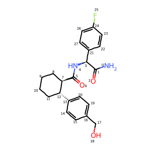 NC(=O)[C@@H](NC(=O)[C@@H]1CCCC[C@H]1c1ccc(CO)cc1)c1ccc(F)cc1